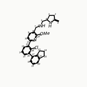 C=C1CCC(CNCc2ccc(-c3cccc(-c4cccc5c4CCC5)c3Cl)nc2OC)N1